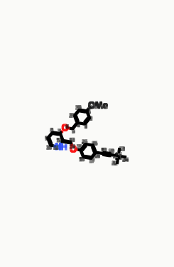 COc1ccc(COC2=CC=CNC2=COc2ccc(C#C[Si](C)(C)C)cc2)cc1